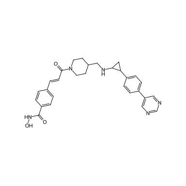 O=C(NO)c1ccc(C=CC(=O)N2CCC(CNC3CC3c3ccc(-c4cncnc4)cc3)CC2)cc1